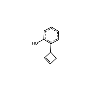 Oc1ccccc1C1C=CC1